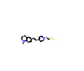 CN1CCCc2cc(/C=C/c3cc[n+](CCS)cc3)ccc21